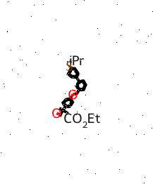 CCOC(=O)CC1(c2ccc(OCc3cccc(-c4ccc(SC(C)C)cc4)c3)cc2)COC1